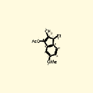 CCC1C(C)=C(OC(C)=O)c2cc(OC)ccc21